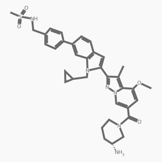 COc1cc(C(=O)N2CCC[C@@H](N)C2)cn2nc(-c3cc4ccc(-c5ccc(CNS(C)(=O)=O)cc5)cc4n3CC3CC3)c(C)c12